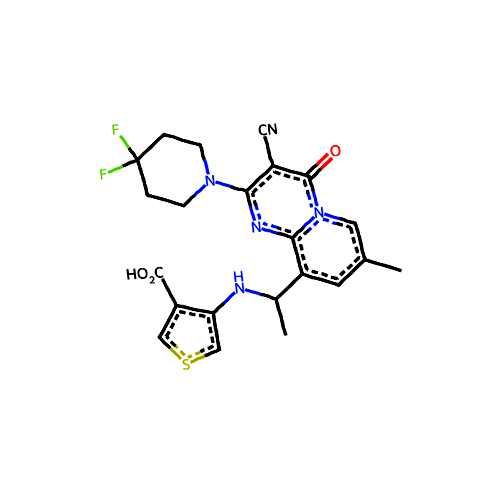 Cc1cc(C(C)Nc2cscc2C(=O)O)c2nc(N3CCC(F)(F)CC3)c(C#N)c(=O)n2c1